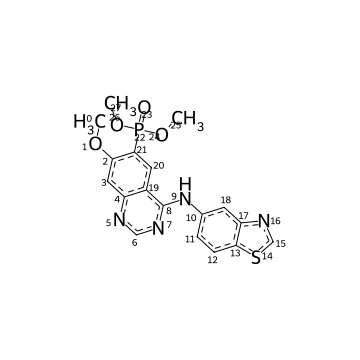 COc1cc2ncnc(Nc3ccc4scnc4c3)c2cc1P(=O)(OC)OC